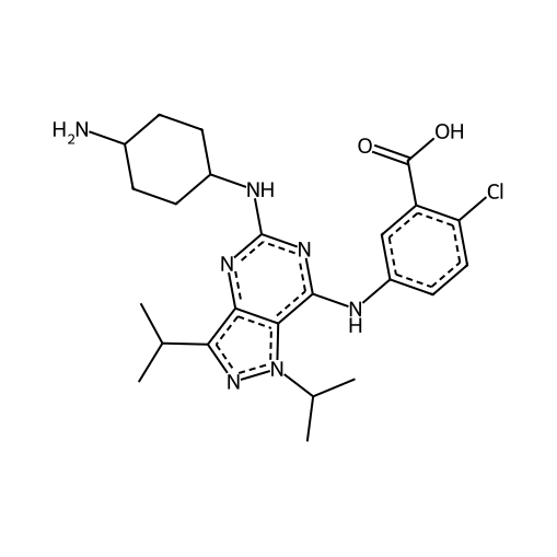 CC(C)c1nn(C(C)C)c2c(Nc3ccc(Cl)c(C(=O)O)c3)nc(NC3CCC(N)CC3)nc12